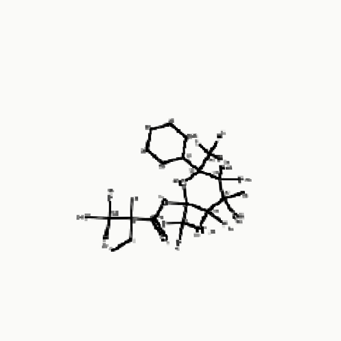 CCC(C)(C(=O)OC1(C(F)(F)F)OC(C2CCCCC2)(C(F)(F)F)C(F)(F)C(C)(O)C1(F)F)C(F)(F)F